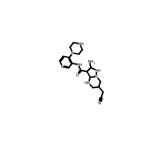 N#CCC1CNC2C(C(=O)Nc3cnccc3N3CCNCC3)C(N)NN2C1